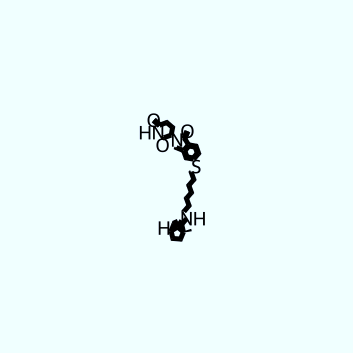 CC1(C)[C@@H]2CC[C@@]1(C)C(NCCCCCCCSc1ccc3c(c1)CN(C1CCC(=O)NC1=O)C3=O)C2